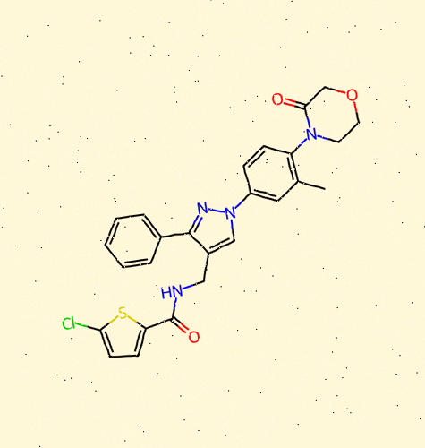 Cc1cc(-n2cc(CNC(=O)c3ccc(Cl)s3)c(-c3ccccc3)n2)ccc1N1CCOCC1=O